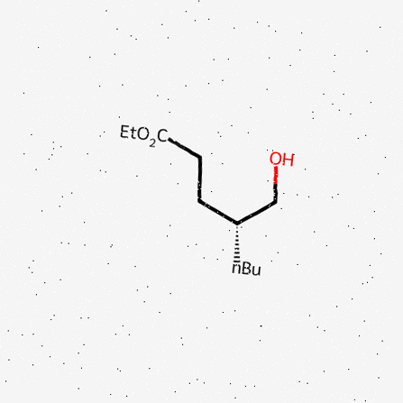 CCCC[C@@H](CO)CCC(=O)OCC